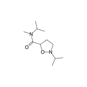 CC(C)N1CCC(C(=O)N(C)C(C)C)O1